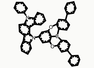 c1ccc(-c2ccc3c(c2)Oc2cc(-n4c5ccccc5c5ccc6c(c7ccccc7n6-c6ccccc6)c54)cc4c2B3c2ccc(-c3ccccc3)cc2O4)cc1